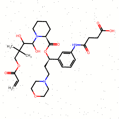 C=CC(=O)OCC(C)(C)C(O)C(O)N1CCCC[C@H]1C(=O)O[C@H](CCN1CCOCC1)c1cccc(NC(=O)CCC(=O)O)c1